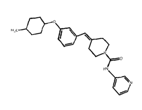 CC1CCC(Oc2cccc(C=C3CCN(C(=O)Nc4cccnc4)CC3)c2)CC1